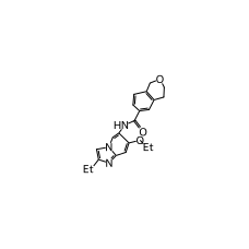 CCOc1cc2nc(CC)cn2cc1NC(=O)c1ccc2c(c1)CCOC2